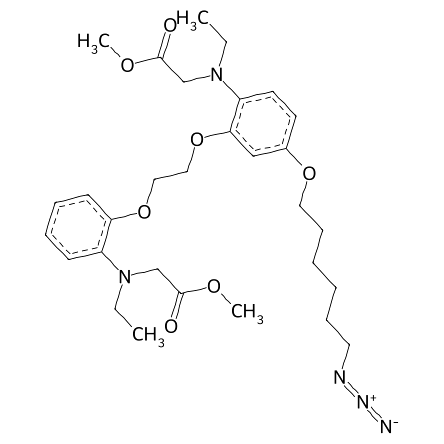 CCN(CC(=O)OC)c1ccccc1OCCOc1cc(OCCCCCCN=[N+]=[N-])ccc1N(CC)CC(=O)OC